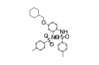 Cc1ccc(S(=O)(=O)Nc2ccc(OCC3CCCCC3)cc2NS(=O)(=O)c2ccc(C)cc2)cc1